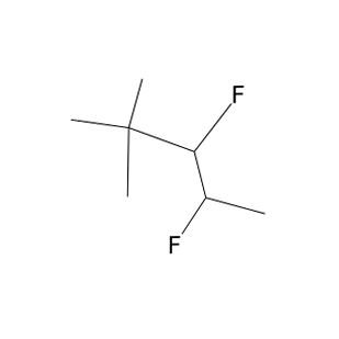 CC(F)C(F)C(C)(C)C